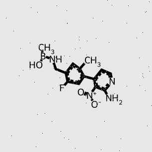 CB(O)NCc1cc(C)c(-c2ccnc(N)c2[N+](=O)[O-])cc1F